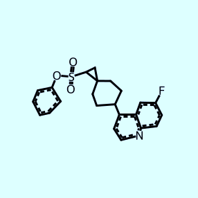 O=S(=O)(Oc1ccccc1)C1CC12CCC(c1ccnc3ccc(F)cc13)CC2